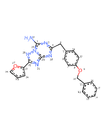 Nc1nc(Cc2ccc(OCc3ccccc3)cc2)nc2nc(-c3ccco3)nn12